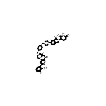 O=C1CCC(N2Cc3ccc(N4CCN(C[C@H]5CC[C@H](CN6CCN7c8cc(-c9cccc(F)c9O)nnc8NC[C@H]7C6)CC5)CC4)cc3C2=O)C(=O)N1